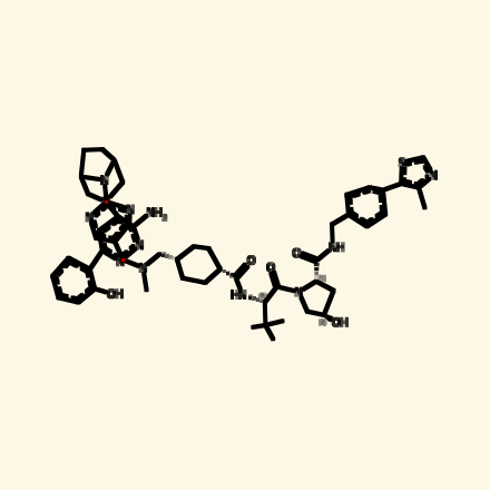 Cc1ncsc1-c1ccc(CNC(=O)[C@@H]2C[C@@H](O)CN2C(=O)[C@@H](NC(=O)[C@H]2CC[C@@H](CN(C)Cc3cnc(N4C5CCC4CN(c4cc(-c6ccccc6O)nnc4N)C5)nc3)CC2)C(C)(C)C)cc1